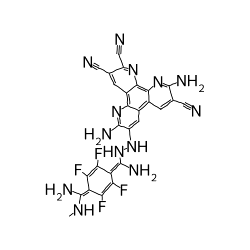 CNC(N)=c1c(F)c(F)c(=C(N)NNc2cc3c4cc(C#N)c(N)nc4c4nc(C#N)c(C#N)cc4c3nc2N)c(F)c1F